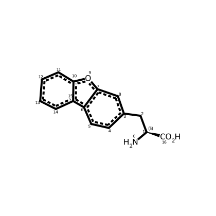 N[C@@H](Cc1ccc2c(c1)oc1ccccc12)C(=O)O